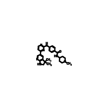 CN1CCC(NC(=O)c2ccc(Nc3nccc(-c4cnc5c(c4)C(C)(C)CN5)n3)cc2)CC1